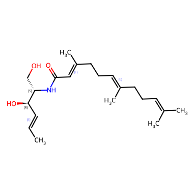 C/C=C/[C@@H](O)[C@H](CO)NC(=O)/C=C(\C)CC/C=C(\C)CCC=C(C)C